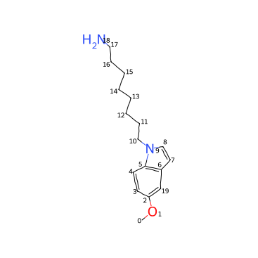 COc1ccc2c(ccn2CCCCCCCCN)c1